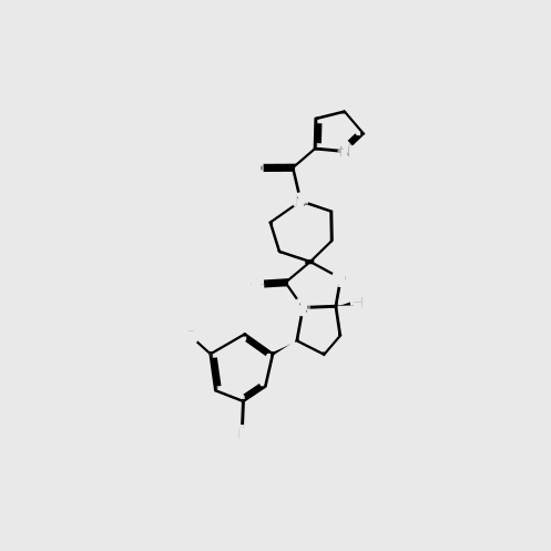 O=C(C1=CCC=N1)N1CCC2(CC1)O[C@@H]1CC[C@@H](c3cc(F)cc(F)c3)N1C2=O